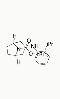 CC(C)c1ccccc1N[C@@H]1C[C@H]2CC[C@@H](C1)N2C(=O)OC(C)(C)C